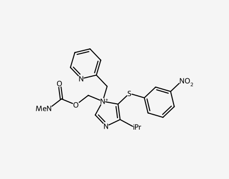 CNC(=O)OC[N+]1(Cc2ccccn2)C=NC(C(C)C)=C1Sc1cccc([N+](=O)[O-])c1